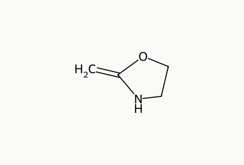 C=C1NCCO1